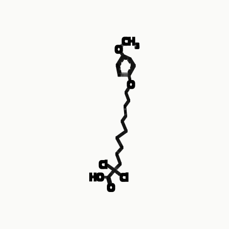 COc1ccc(OCCCCCCCCCCC(Cl)(Cl)C(=O)O)cc1